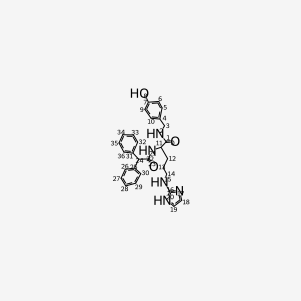 O=C(NCc1ccc(O)cc1)C(CCCNc1ncc[nH]1)NC(=O)C(c1ccccc1)c1ccccc1